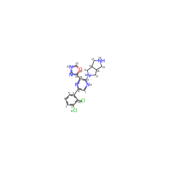 Clc1cccc(-c2cnc(N3CC4CNCC4C3)c(-c3nnco3)n2)c1Cl